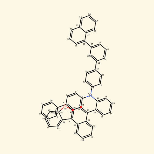 c1ccc(-c2ccc(N(c3ccc(-c4cccc(-c5cccc6ccccc56)c4)cc3)c3ccccc3-c3cc4oc5ccccc5c4c4ccccc34)cc2)cc1